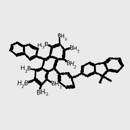 Bc1c(B)c(B)c2c(-c3ccc4ccccc4c3)c3c(B)c(B)c(B)c(B)c3c(-c3cccc(-c4ccc5c(c4)C(C)(C)c4ccccc4-5)c3)c2c1B